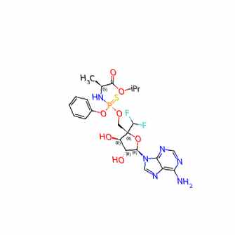 CC(C)OC(=O)[C@H](C)NP(=S)(OC[C@@]1(C(F)F)O[C@@H](n2cnc3c(N)ncnc32)[C@H](O)[C@H]1O)Oc1ccccc1